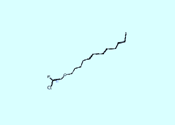 CCCCCCCCCCCCO/C=C(\F)Cl